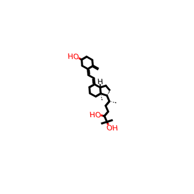 C=C1CCC(O)C/C1=C/C=C1\CCC[C@]2(C)[C@@H]([C@H](C)CCC(O)C(C)(C)O)CC[C@@H]12